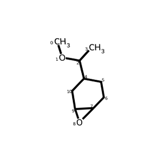 COC(C)C1CCC2OC2C1